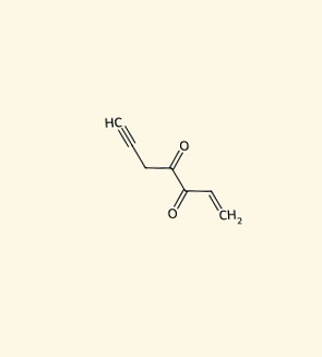 C#CCC(=O)C(=O)C=C